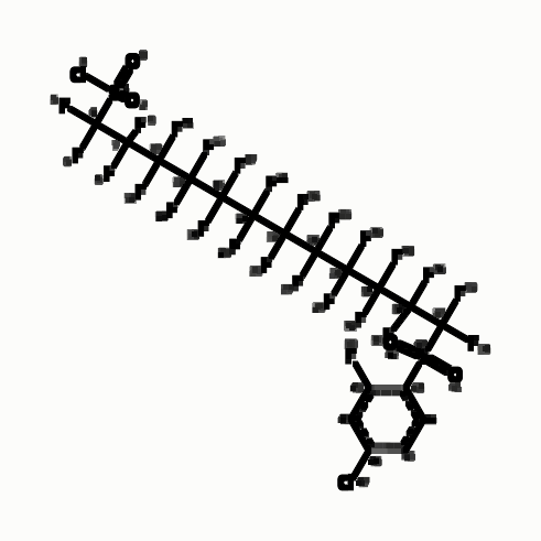 O=S(=O)(Cl)C(F)(F)C(F)(F)C(F)(F)C(F)(F)C(F)(F)C(F)(F)C(F)(F)C(F)(F)C(F)(F)C(F)(F)C(F)(F)C(F)(F)S(=O)(=O)c1ccc(Cl)cc1F